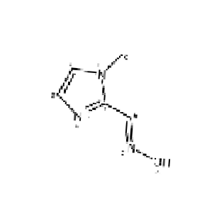 CN1C=C[N+]=C1C=NO